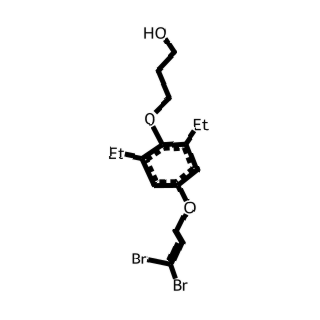 CCc1cc(OCC=C(Br)Br)cc(CC)c1OCCCO